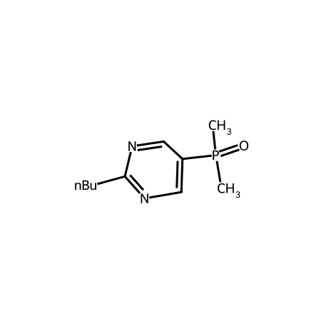 CCCCc1ncc(P(C)(C)=O)cn1